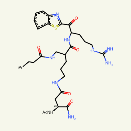 CC(=O)N[C@@H](CC(=O)NCCCC(CNC(=O)CCC(C)C)C(=O)NC(CCCNC(=N)N)C(=O)c1nc2ccccc2s1)C(N)=O